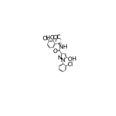 O=C(O)C[C@H](NC(=O)c1cc(O)n(-c2ccccc2Cl)n1)c1cccc(Cl)c1Cl